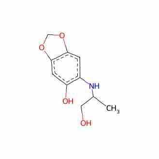 CC(CO)Nc1cc2c(cc1O)OCO2